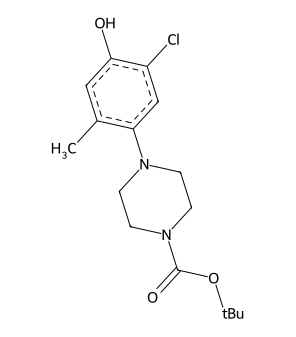 Cc1cc(O)c(Cl)cc1N1CCN(C(=O)OC(C)(C)C)CC1